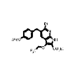 CCOC(=O)c1[nH]c2nc(CC)c(Cc3ccc(OC)cc3)cc2c1OCC(F)(F)F